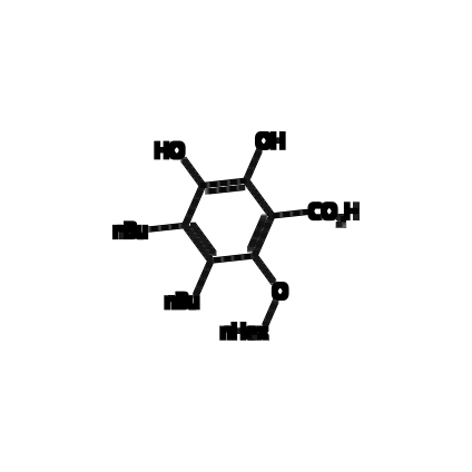 CCCCCCOc1c(CCCC)c(CCCC)c(O)c(O)c1C(=O)O